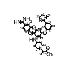 COC(=O)C(C)N1CCC(Nc2c(F)c(Oc3cccc(C4=NCCN4C)c3)nc(Oc3cc(C(=N)N)ccc3O)c2F)CC1